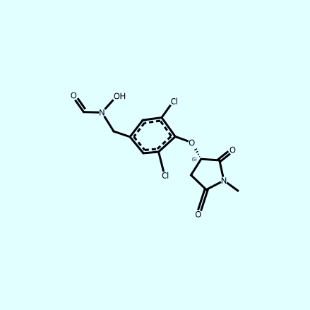 CN1C(=O)C[C@H](Oc2c(Cl)cc(CN(O)C=O)cc2Cl)C1=O